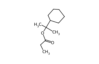 CCC(=O)OC(C)(C)C1CCCCC1